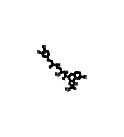 C=C(CCNC(=O)COc1ccc(Cl)c(F)c1)NC(=O)[C@H]1C[C@H](NS(C)(=O)=O)c2cc(Cl)ccc2O1